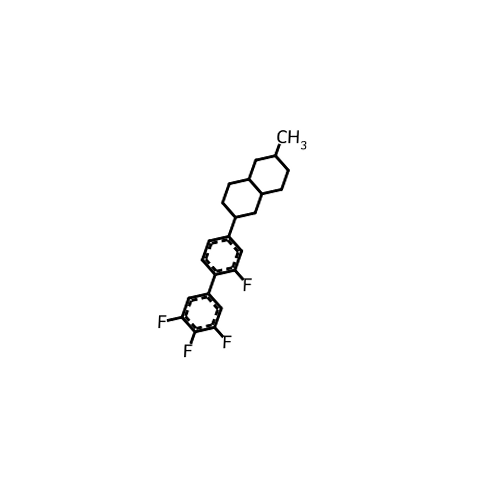 CC1CCC2CC(c3ccc(-c4cc(F)c(F)c(F)c4)c(F)c3)CCC2C1